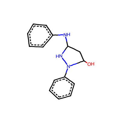 OC1CC(Nc2ccccc2)NN1c1ccccc1